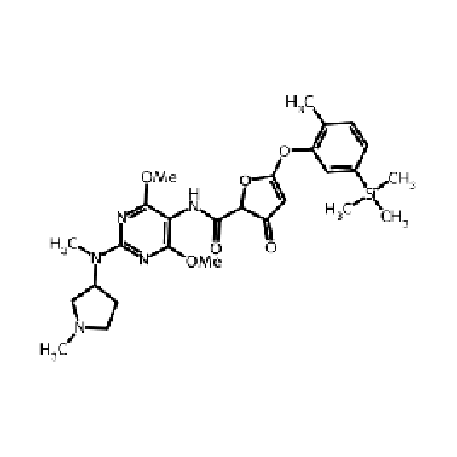 COc1nc(N(C)C2CCN(C)C2)nc(OC)c1NC(=O)C1OC(Oc2cc([Si](C)(C)C)ccc2C)=CC1=O